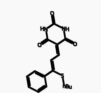 CCCCS/C(=C\C=C1C(=O)NC(=O)NC1=O)c1ccccc1